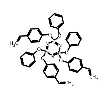 C=Cc1ccc(OP2(Oc3ccccc3)=NP(Oc3ccccc3)(Oc3ccc(C=C)cc3)=NP(Oc3ccccc3)(Oc3ccc(C=C)cc3)=N2)cc1